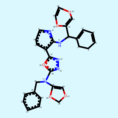 C1=CCCC(C(Nc2ncccc2-c2nnc(N(Cc3ccccc3)C3=COCO3)o2)C2=COC=CO2)=C1